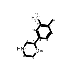 Cc1ccc(C2CNCCO2)cc1C(F)(F)F